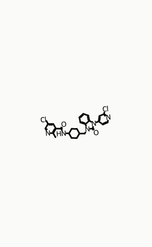 Cc1ncc(Cl)cc1C(=O)NC1CCC(Cn2c(=O)n(-c3ccnc(Cl)c3)c3ccccc32)CC1